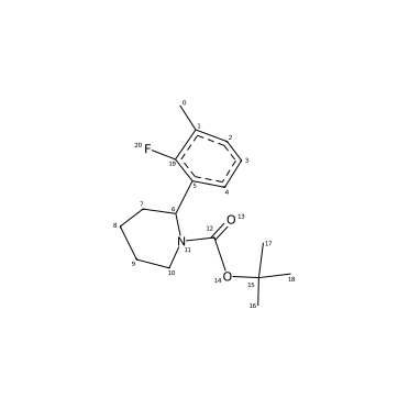 Cc1cccc(C2CCCCN2C(=O)OC(C)(C)C)c1F